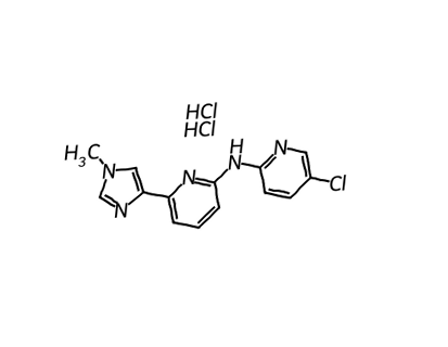 Cl.Cl.Cn1cnc(-c2cccc(Nc3ccc(Cl)cn3)n2)c1